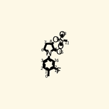 Cc1ccc(N2CCC(OS(C)(=O)=O)C2=O)cc1F